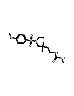 CCN(CC(C)(C)CCNC(=O)NC)S(=O)(=O)c1ccc(OC)cc1